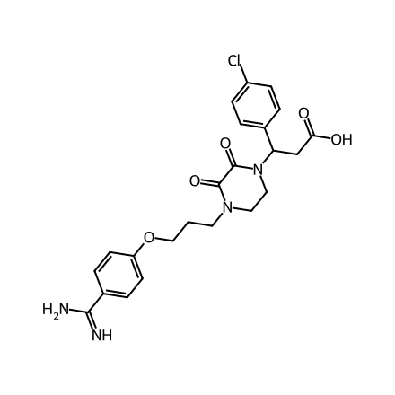 N=C(N)c1ccc(OCCCN2CCN(C(CC(=O)O)c3ccc(Cl)cc3)C(=O)C2=O)cc1